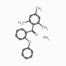 Cc1cc(C)c(C(=O)c2ccccc2Oc2ccccc2)c(C)c1.P